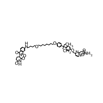 CCC(CC)(c1ccc(OCCCCCCCCOCCCCNc2ccc3c(c2)C(=O)N(C2CCC(=O)NC2=O)C3=O)cc1)c1ccc(OCc2ccnc(CS(N)(=O)=O)n2)cc1